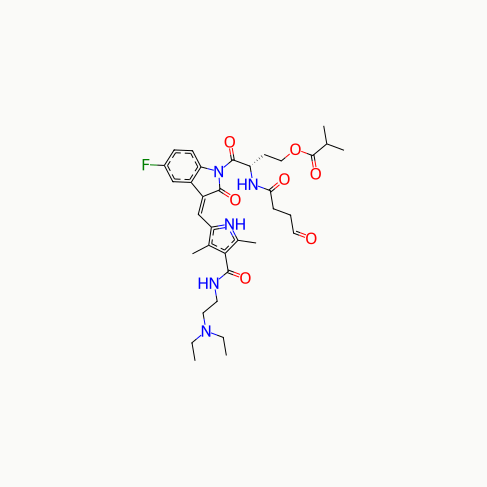 CCN(CC)CCNC(=O)c1c(C)[nH]c(/C=C2\C(=O)N(C(=O)[C@H](CCOC(=O)C(C)C)NC(=O)CCC=O)c3ccc(F)cc32)c1C